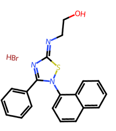 Br.OCCN=c1nc(-c2ccccc2)n(-c2cccc3ccccc23)s1